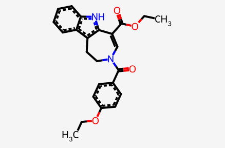 CCOC(=O)C1=CN(C(=O)c2ccc(OCC)cc2)CCc2c1[nH]c1ccccc21